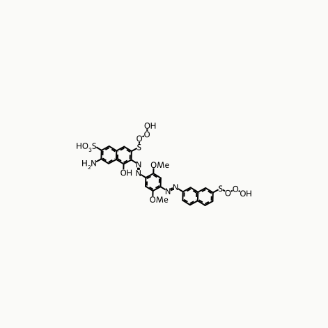 COc1cc(N=Nc2c(SOOO)cc3cc(S(=O)(=O)O)c(N)cc3c2O)c(OC)cc1N=Nc1ccc2ccc(SOOO)cc2c1